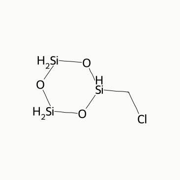 ClC[SiH]1O[SiH2]O[SiH2]O1